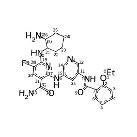 CCOc1ccccc1C(=O)Nc1cncc(Nc2nc(NC3CCCC[C@@H]3N)c(F)cc2C(N)=O)c1